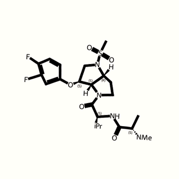 CN[C@@H](C)C(=O)N[C@H](C(=O)N1CC[C@@H]2[C@H]1[C@@H](Oc1ccc(F)c(F)c1)CN2S(C)(=O)=O)C(C)C